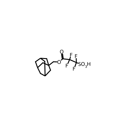 O=C(OCC12CC3CC(CC(C3)C1)C2)C(F)(F)C(F)(F)S(=O)(=O)O